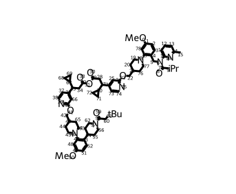 COc1ccc(CN(C(=O)C(C)C)c2cccc(C)n2)c(N2CCC(COc3cc(C(CC(=O)OC(=O)CC(c4ccnc(OCC5CCN(c6cc(OC)ccc6C6CCN(C(=O)CC(C)(C)C)CC6)CC5)c4)C4CC4)C4CC4)ccn3)CC2)c1